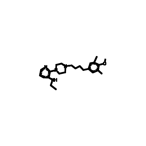 CCNc1cccnc1N1CCN(CCCCc2cc(C)c(OC)c(C)c2)CC1